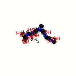 CCCOc1cc(N=Nc2cc(S(=O)(=O)O)cc3cc(S(=O)(=O)O)cc(O)c23)c(C)cc1N=Nc1c(S(=O)(=O)O)cc2cc(N=Nc3c(Nc4ccccc4)ccc4c(O)c(N=Nc5ccc6c(O)c(N=Nc7ccccc7S(=O)(=O)O)ccc6c5)ccc34)ccc2c1O